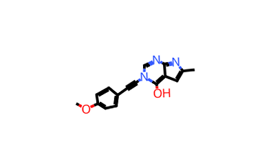 COc1ccc(C#Cn2cnc3nc(C)cc-3c2O)cc1